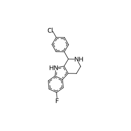 Fc1ccc2[nH]c3c(c2c1)CCNC3c1ccc(Cl)cc1